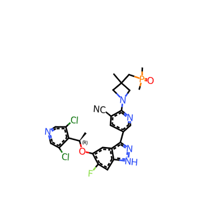 C[C@@H](Oc1cc2c(-c3cnc(N4CC(C)(CP(C)(C)=O)C4)c(C#N)c3)n[nH]c2cc1F)c1c(Cl)cncc1Cl